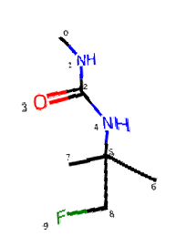 CNC(=O)NC(C)(C)CF